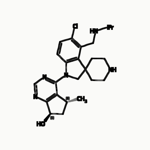 CC(C)NCc1c(Cl)ccc2c1C1(CCNCC1)CN2c1ncnc2c1[C@H](C)C[C@H]2O